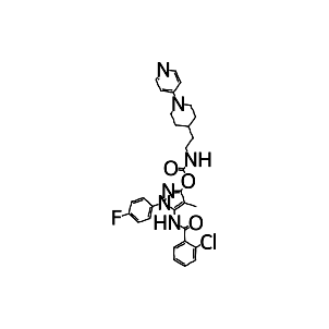 Cc1c(OC(=O)NCCC2CCN(c3ccncc3)CC2)nn(-c2ccc(F)cc2)c1NC(=O)c1ccccc1Cl